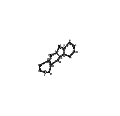 c1ccc2sc3nc4ccccc4c-3nc2c1